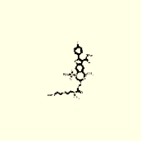 CNC(=O)c1c(-c2ccc(F)cc2)oc2cc3c(cc12)[C@H](C)O[C@H](COC(=O)N(C)CCOCCOC)CN3S(C)(=O)=O